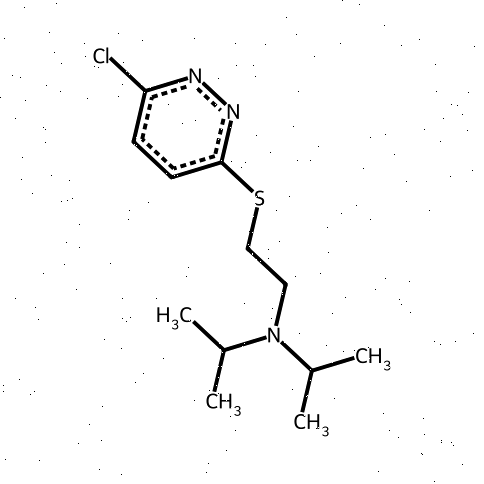 CC(C)N(CCSc1ccc(Cl)nn1)C(C)C